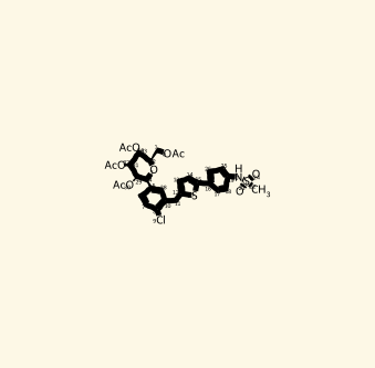 CC(=O)OC[C@H]1O[C@@H](c2ccc(Cl)c(Cc3ccc(-c4ccc(NS(C)(=O)=O)cc4)s3)c2)[C@H](OC(C)=O)[C@@H](OC(C)=O)[C@@H]1OC(C)=O